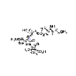 CC1(C)[C@H](NC(=O)/C(=N\O[C@@H](COc2ccc(C(=N)NCCN)cc2)C(=O)O)c2nsc(N)n2)C(=O)N1S(=O)(=O)O